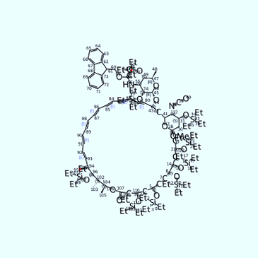 CC[Si](CC)(CC)O[C@@H]1CC[C@@H](O[Si](CC)(CC)CC)[C@H](O[Si](CC)(CC)CC)C[C@H](O[Si](CC)(CC)CC)C[C@]2(OC)C[C@H](O[Si](CC)(CC)CC)[C@@H](N=C=O)C(C[C@@H](O[C@@H]3O[C@H](C)[C@@H](O[Si](CC)(CC)CC)[C@H](NC(=O)OCC4c5ccccc5-c5ccccc54)[C@@H]3O[Si](CC)(CC)CC)/C=C/C=C/C=C/C=C/C=C/C=C/C=C/[C@H](C)[C@@H](O[Si](CC)(CC)CC)[C@@H](C)[C@H](C)OC(=O)C[C@H](O[Si](CC)(CC)CC)C1)O2